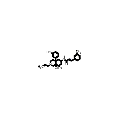 C=CCN1CCC2(c3cccc(O)c3)CC(NC(=O)/C=C/c3cccc(C(F)(F)F)c3)CCC2(OC)C1